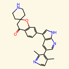 Cc1ccnc(C)c1-c1cnc2[nH]cc(-c3ccc4c(c3)OC3(CCNCC3)CC4=O)c2c1